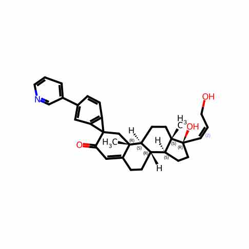 C[C@]12CC3(C(=O)C=C1CC[C@@H]1[C@@H]2CC[C@@]2(C)[C@H]1CC[C@@]2(O)/C=C\CO)c1ccc(-c2cccnc2)cc13